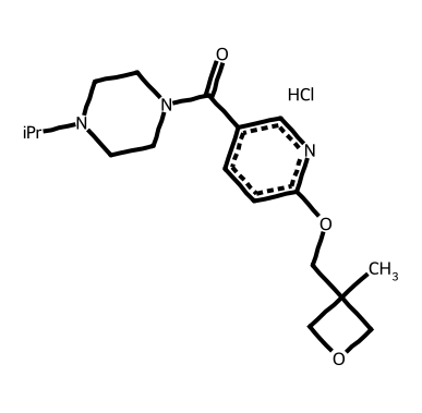 CC(C)N1CCN(C(=O)c2ccc(OCC3(C)COC3)nc2)CC1.Cl